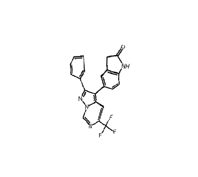 O=C1Cc2cc(-c3c(-c4ccccc4)nn4cnc(C(F)(F)F)cc34)ccc2N1